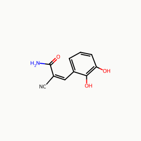 N#CC(=Cc1cccc(O)c1O)C(N)=O